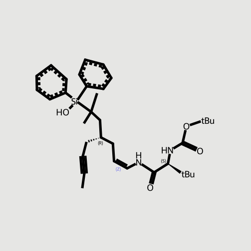 CC#CC[C@@H](C/C=C\NC(=O)[C@@H](NC(=O)OC(C)(C)C)C(C)(C)C)CC(C)(C)[Si](O)(c1ccccc1)c1ccccc1